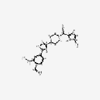 CC(C)Nc1cc(-c2noc(C3CCN(C(=O)c4ncc(Cl)s4)CC3)n2)ccc1C=N